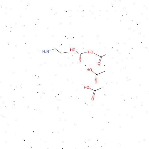 CC(=O)O.CC(=O)O.CC(=O)O.CC(=O)O.CCCN